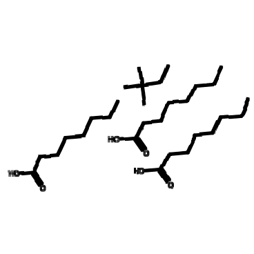 CCC(C)(C)C.CCCCCCCC(=O)O.CCCCCCCC(=O)O.CCCCCCCC(=O)O